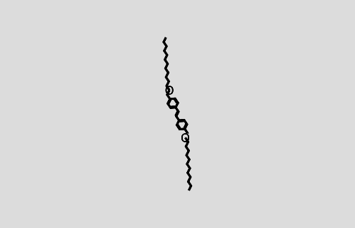 CCCCCCCCCCCCOCc1ccc(/C=C/c2ccc(COCCCCCCCCCCCC)cc2)cc1